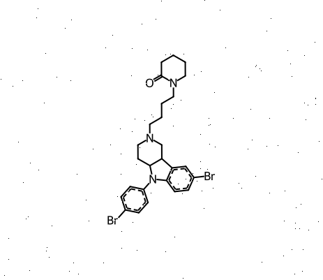 O=C1CCCCN1CCCCN1CCC2C(C1)c1cc(Br)ccc1N2c1ccc(Br)cc1